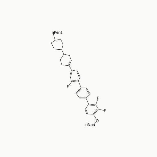 CCCCCCCCCOc1ccc(-c2ccc(-c3ccc(C4=CCC(C5CCC(CCCCC)CC5)CC4)cc3F)cc2)c(F)c1F